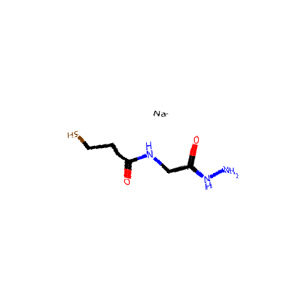 NNC(=O)CNC(=O)CCS.[Na]